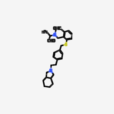 CCCC(C=O)N(C)Cc1c(C=O)cccc1SCc1ccc(CCN2CC3CCCCC3C2)cc1